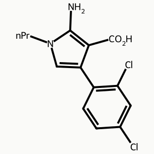 CCCn1cc(-c2ccc(Cl)cc2Cl)c(C(=O)O)c1N